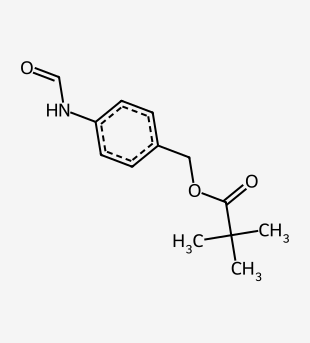 CC(C)(C)C(=O)OCc1ccc(NC=O)cc1